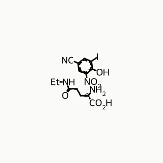 CCNC(=O)CC[C@@H](N)C(=O)O.N#Cc1cc(I)c(O)c([N+](=O)[O-])c1